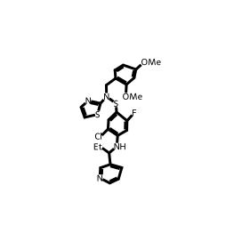 CCC(Nc1cc(F)c(SN(Cc2ccc(OC)cc2OC)c2nccs2)cc1Cl)c1cccnc1